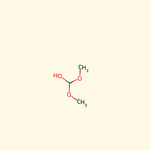 CO[C](O)OC